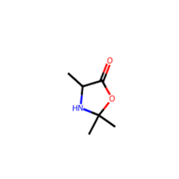 CC1NC(C)(C)OC1=O